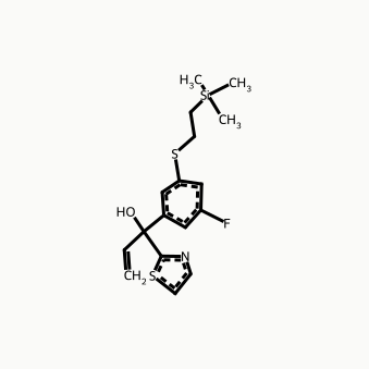 C=CC(O)(c1cc(F)cc(SCC[Si](C)(C)C)c1)c1nccs1